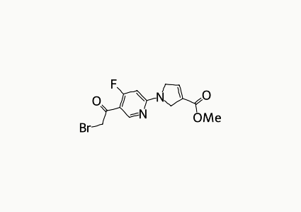 COC(=O)C1=CCN(c2cc(F)c(C(=O)CBr)cn2)C1